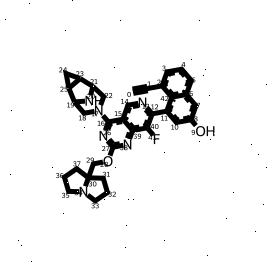 C#Cc1cccc2cc(O)cc(-c3ncc4c(N5CC6NC(C5)C5CC65)nc(OCC56CCCN5CCC6)nc4c3F)c12